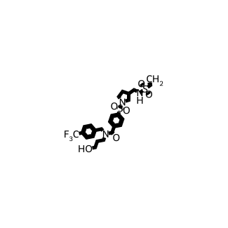 C=CS(=O)(=O)NCC1CCN(S(=O)(=O)c2ccc(C(=O)N(CCCO)Cc3ccc(C(F)(F)F)cc3)cc2)C1